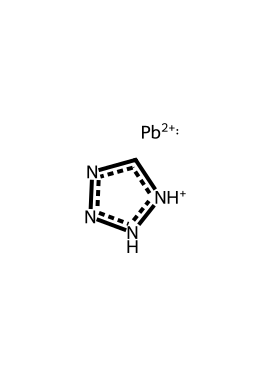 [Pb+2].c1nn[nH][nH+]1